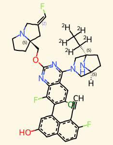 [2H]C([2H])([2H])C([2H])([2H])[C@@]12CC[C@@H](CN(c3nc(OC[C@@]45CCCN4C/C(=C\F)C5)nc4c(F)c(-c5cc(O)cc6ccc(F)c(C#C)c56)c(Cl)cc34)C1)N2